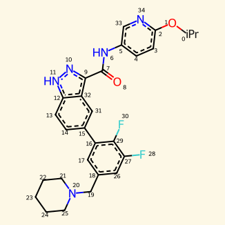 CC(C)Oc1ccc(NC(=O)c2n[nH]c3ccc(-c4cc(CN5CCCCC5)cc(F)c4F)cc23)cn1